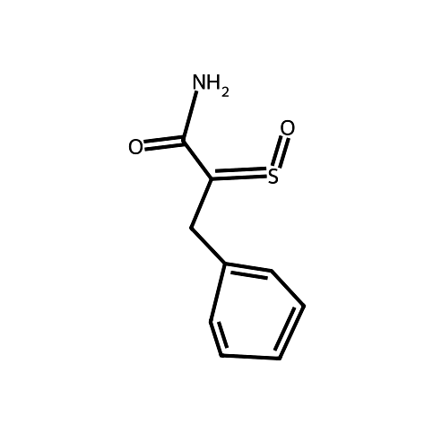 NC(=O)C(Cc1ccccc1)=S=O